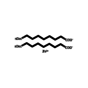 CCCCCCCCCCCCCCCCCC(=O)[O-].CCCCCCCCCCCCCCCCCC(=O)[O-].[Zn+2]